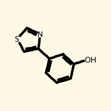 Oc1cccc(-c2cscn2)c1